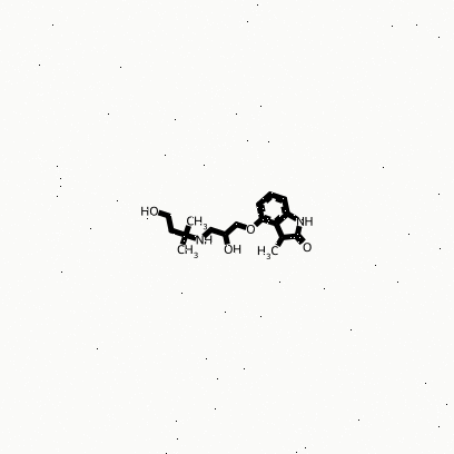 CC1C(=O)Nc2cccc(OCC(O)CNC(C)(C)CCO)c21